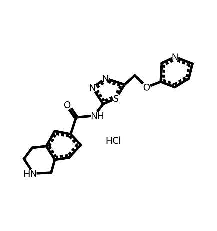 Cl.O=C(Nc1nnc(COc2cccnc2)s1)c1ccc2c(c1)CCNC2